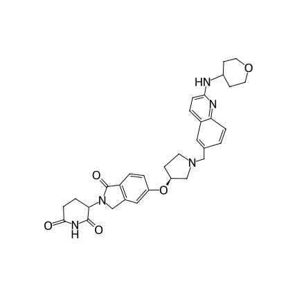 O=C1CCC(N2Cc3cc(O[C@H]4CCN(Cc5ccc6nc(NC7CCOCC7)ccc6c5)C4)ccc3C2=O)C(=O)N1